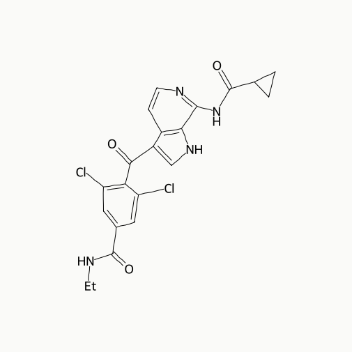 CCNC(=O)c1cc(Cl)c(C(=O)c2c[nH]c3c(NC(=O)C4CC4)nccc23)c(Cl)c1